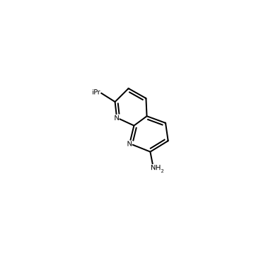 CC(C)c1ccc2ccc(N)nc2n1